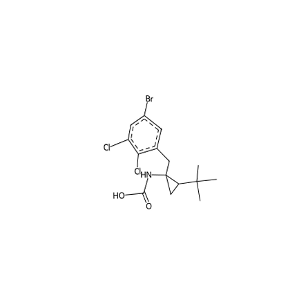 CC(C)(C)C1CC1(Cc1cc(Br)cc(Cl)c1Cl)NC(=O)O